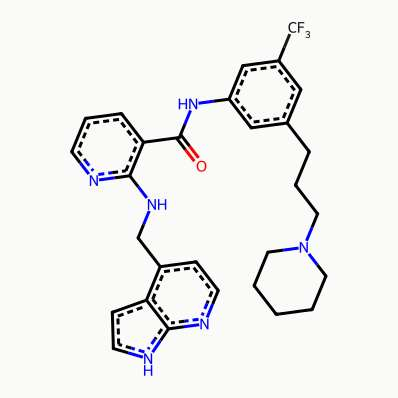 O=C(Nc1cc(CCCN2CCCCC2)cc(C(F)(F)F)c1)c1cccnc1NCc1ccnc2[nH]ccc12